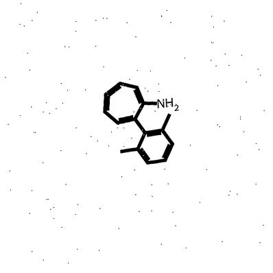 Cc1cccc(C)c1C1=CC=C=CC=C1N